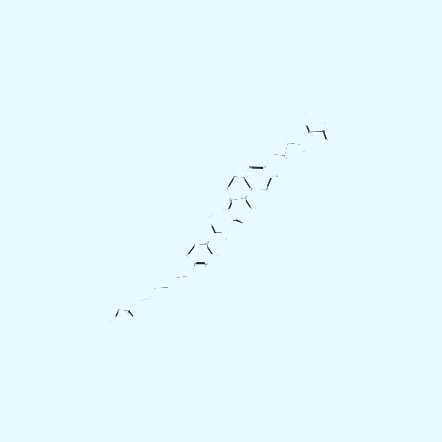 C=CC(=O)OCCCCOc1ccc(C(=O)Sc2ccc3c(ccc4cc(OCCSC(=O)C(=C)C)ccc43)c2)cc1